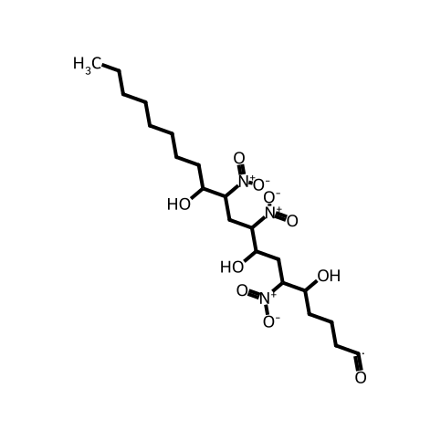 CCCCCCCCC(O)C(CC(C(O)CC(C(O)CCC[C]=O)[N+](=O)[O-])[N+](=O)[O-])[N+](=O)[O-]